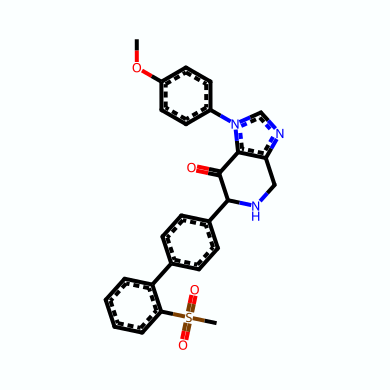 COc1ccc(-n2cnc3c2C(=O)C(c2ccc(-c4ccccc4S(C)(=O)=O)cc2)NC3)cc1